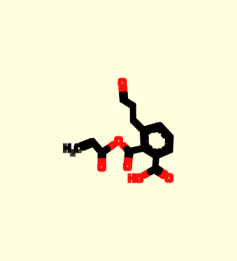 C=CC(=O)OC(=O)c1c(CCC=O)cccc1C(=O)O